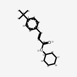 CC(C)(C)c1ccc(C=CC(=O)OC2CCCCC2)cc1